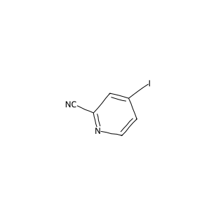 N#Cc1cc(I)ccn1